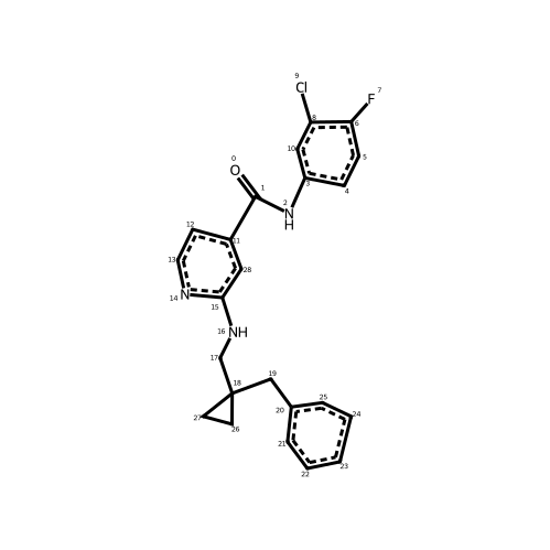 O=C(Nc1ccc(F)c(Cl)c1)c1ccnc(NCC2(Cc3ccccc3)CC2)c1